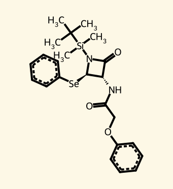 CC(C)(C)[Si](C)(C)N1C(=O)[C@H](NC(=O)COc2ccccc2)[C@H]1[Se]c1ccccc1